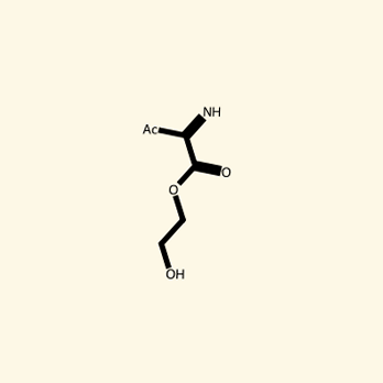 CC(=O)C(=N)C(=O)OCCO